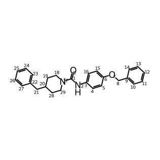 O=C(Nc1ccc(OCc2ccccc2)cc1)N1CCC(Cc2ccccc2)CC1